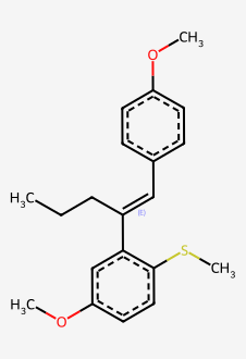 CCC/C(=C\c1ccc(OC)cc1)c1cc(OC)ccc1SC